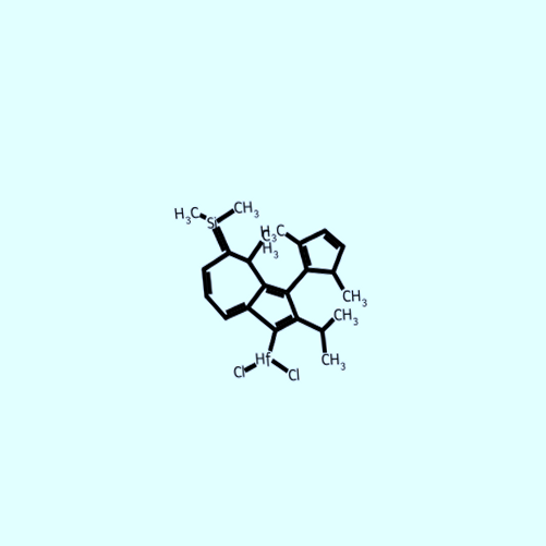 CC1=C(C2=C3C(=CC=CC(=[Si](C)C)C3C)[C]([Hf]([Cl])[Cl])=C2C(C)C)C(C)C=C1